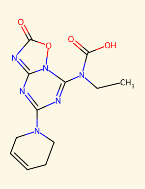 CCN(C(=O)O)c1nc(N2CC=CCC2)nc2nc(=O)on12